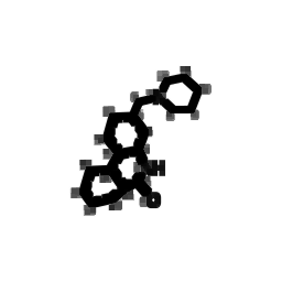 O=c1[nH]c2cc(CN3CCCCC3)ccc2c2ccccc12